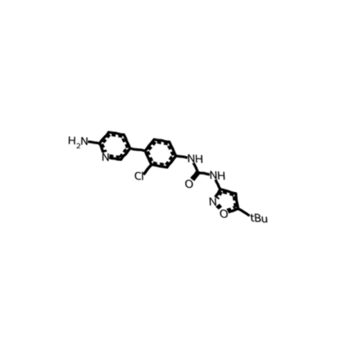 CC(C)(C)c1cc(NC(=O)Nc2ccc(-c3ccc(N)nc3)c(Cl)c2)no1